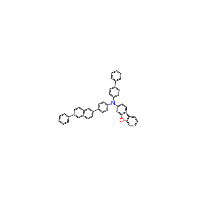 c1ccc(-c2ccc(N(c3ccc(-c4ccc5cc(-c6ccccc6)ccc5c4)cc3)c3ccc4c(c3)oc3ccccc34)cc2)cc1